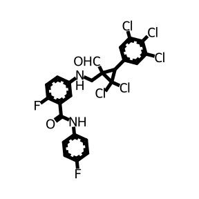 O=CC1(CNc2ccc(F)c(C(=O)Nc3ccc(F)cc3)c2)C(c2cc(Cl)c(Cl)c(Cl)c2)C1(Cl)Cl